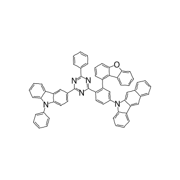 c1ccc(-c2nc(-c3ccc4c(c3)c3ccccc3n4-c3ccccc3)nc(-c3ccc(-n4c5ccccc5c5cc6ccccc6cc54)cc3-c3cccc4oc5ccccc5c34)n2)cc1